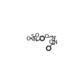 CN(CCOc1ccc(CN2CC(=O)SC2=O)cc1)c1ncc(-c2ccccc2)o1